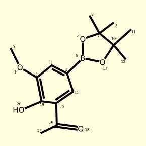 COc1cc(B2OC(C)(C)C(C)(C)O2)cc(C(C)=O)c1O